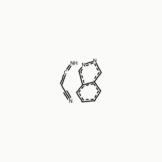 N#CC=C=N.c1ccc2cnncc2c1